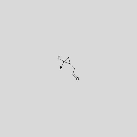 O=CCC1CC1(F)F